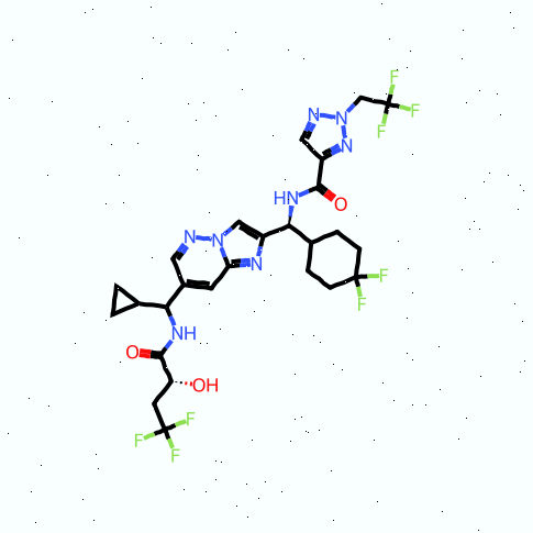 O=C(N[C@H](c1cn2ncc(C(NC(=O)[C@H](O)CC(F)(F)F)C3CC3)cc2n1)C1CCC(F)(F)CC1)c1cnn(CC(F)(F)F)n1